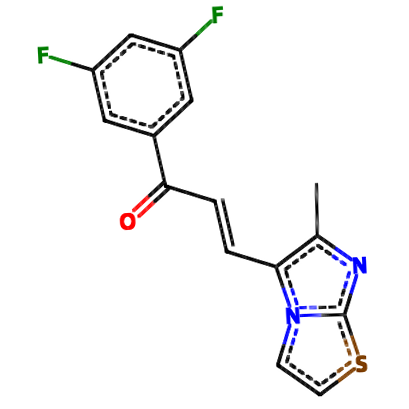 Cc1nc2sccn2c1/C=C/C(=O)c1cc(F)cc(F)c1